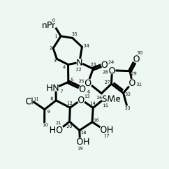 CCCC1CCC(C(=O)NC(C(C)Cl)C2OC(SC)C(O)C(O)C2O)N(C(=O)OCc2oc(=O)oc2C)CC1